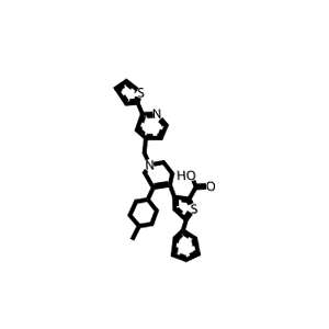 CC1CCC(C2=C(c3cc(-c4ccccc4)sc3C(=O)O)CCN(Cc3ccnc(-c4cccs4)c3)C2)CC1